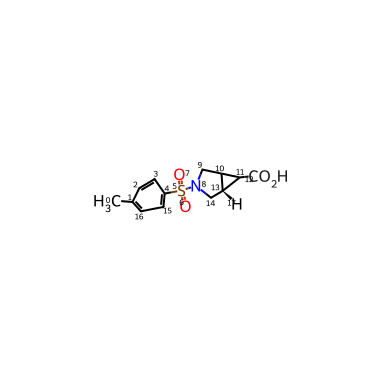 Cc1ccc(S(=O)(=O)N2CC3C(C(=O)O)[C@@H]3C2)cc1